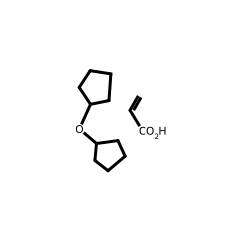 C1CCC(OC2CCCC2)C1.C=CC(=O)O